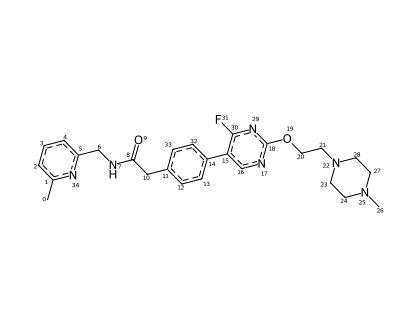 Cc1cccc(CNC(=O)Cc2ccc(-c3cnc(OCCN4CCN(C)CC4)nc3F)cc2)n1